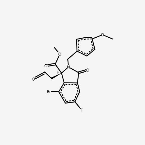 COC(=O)[C@@]1(CC=O)c2c(Br)cc(F)cc2C(=O)N1Cc1ccc(OC)cc1